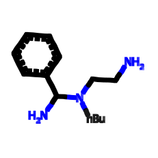 CCCCN(CCN)C(N)c1ccccc1